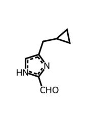 O=Cc1nc(CC2CC2)c[nH]1